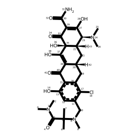 CN(C)C(=O)C(C)(C)N(C)Cc1cc(O)c2c(c1Cl)C[C@H]1C[C@H]3[C@H](N(C)C)C(O)=C(C(N)=O)C(=O)[C@@]3(O)C(O)=C1C2=O